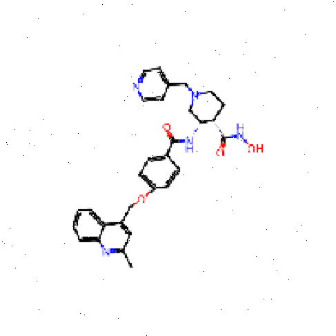 Cc1cc(COc2ccc(C(=O)N[C@@H]3CN(Cc4ccncc4)CC[C@@H]3C(=O)NO)cc2)c2ccccc2n1